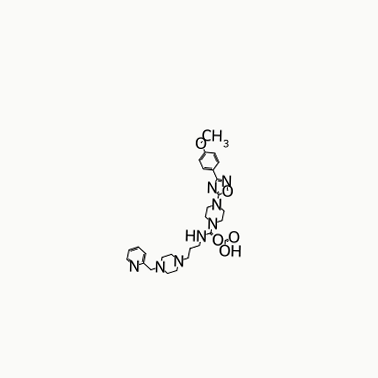 COc1ccc(-c2noc(N3CCN(C(=O)NCCCN4CCN(Cc5ccccn5)CC4)CC3)n2)cc1.O=CO